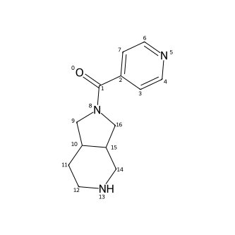 O=C(c1ccncc1)N1CC2CCNCC2C1